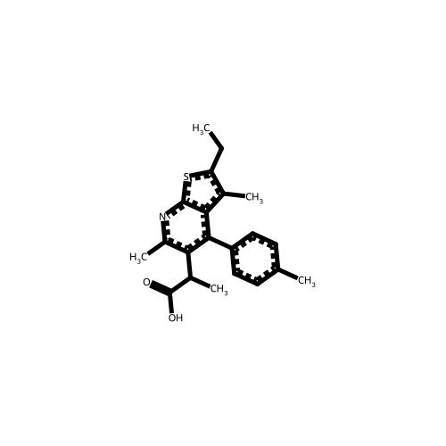 CCc1sc2nc(C)c(C(C)C(=O)O)c(-c3ccc(C)cc3)c2c1C